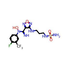 N=C(c1nonc1NCCCNS(N)(=O)=O)N(O)c1ccc(F)c(C(F)(F)F)c1